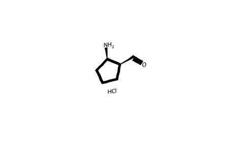 Cl.N[C@@H]1CCC[C@@H]1C=O